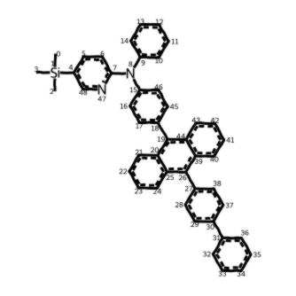 C[Si](C)(C)c1ccc(N(c2ccccc2)c2ccc(-c3c4ccccc4c(-c4ccc(-c5ccccc5)cc4)c4ccccc34)cc2)nc1